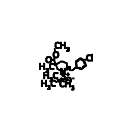 CCOC(=O)C1(C)CC[C@H](Cc2ccc(Cl)cc2)N([S+]([O-])C(C)(C)C)C1